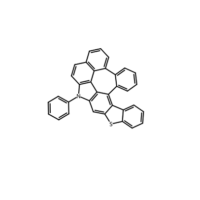 c1ccc(-n2c3cc4sc5ccccc5c4c4c3c3c5c(cccc5ccc32)-c2ccccc2-4)cc1